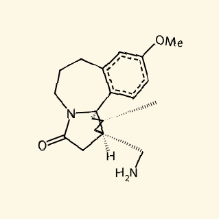 COc1ccc2c(c1)CCCN1C(=O)C[C@H]3[C@H](CN)[C@@H](C)C[C@]231